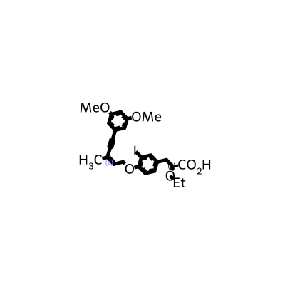 CCO[C@@H](Cc1ccc(OC/C=C(/C)C#Cc2cc(OC)cc(OC)c2)c(I)c1)C(=O)O